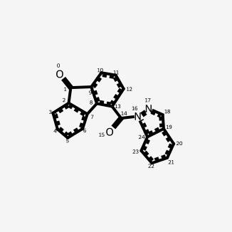 O=C1c2ccccc2-c2c1cccc2C(=O)n1ncc2ccccc21